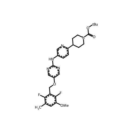 COc1cc(C)c(F)c(COc2cnc(Nc3ccc(C4CCN(C(=O)OC(C)(C)C)CC4)nc3)nc2)c1F